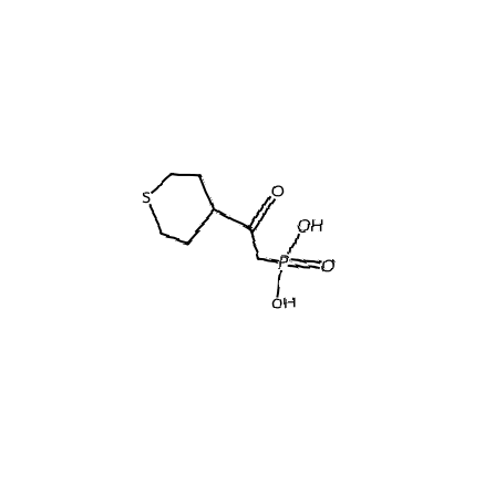 O=C(CP(=O)(O)O)C1CCSCC1